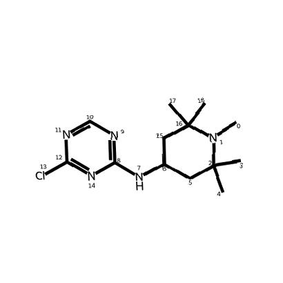 CN1C(C)(C)CC(Nc2ncnc(Cl)n2)CC1(C)C